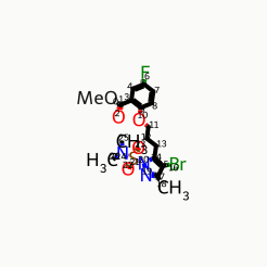 COC(=O)c1cc(F)ccc1OCCCc1c(Br)c(C)nn1S(=O)(=O)N(C)C